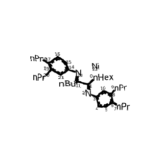 CCCCCCC(=N\c1ccc(CCC)c(CCC)c1)/C(CCCC)=N/c1ccc(CCC)c(CCC)c1.[Ni]